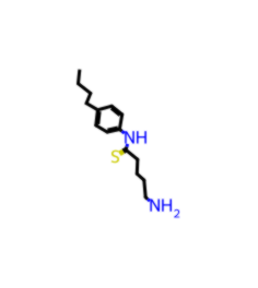 CCCCc1ccc(NC(=S)CCCCN)cc1